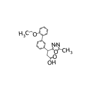 CCOc1ccccc1-c1cccc(C(CC(=O)O)c2nnc(C)o2)c1